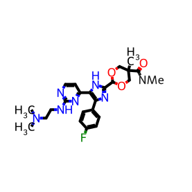 CNC(=O)C1(C)COC(c2nc(-c3ccc(F)cc3)c(-c3ccnc(NCCN(C)C)n3)[nH]2)OC1